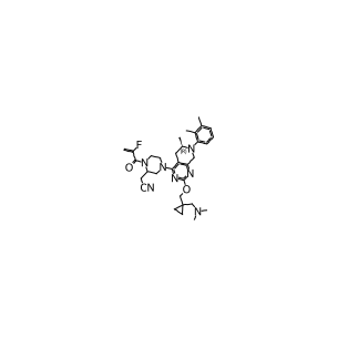 C=C(F)C(=O)N1CCN(c2nc(OCC3(CN(C)C)CC3)nc3c2C[C@@H](C)N(c2cccc(C)c2C)C3)CC1CC#N